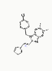 Cc1cc2nc(/C=C/C3=CCC=C3)n(Cc3ccc(Cl)cc3)c2cc1C